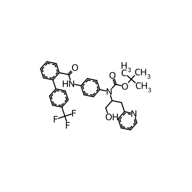 CC(C)(C)OC(=O)N(c1ccc(NC(=O)c2ccccc2-c2ccc(C(F)(F)F)cc2)cc1)C(CO)Cc1ccccn1